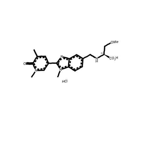 COC[C@H](NCc1ccc2c(c1)nc(-c1cc(C)c(=O)n(C)c1)n2C)C(=O)O.Cl